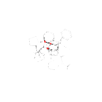 CC1(CC(N)=O)c2ccc(cc2)[C@]1(C(=O)NC(=O)O)N1CCCC1[C@@H]1CC[C@@H](C2CCCN2[C@@]2(C(=O)NC(=O)O)c3ccc(cc3)C2(C)CC(N)=O)N1c1ccc(-c2ccccc2)cc1